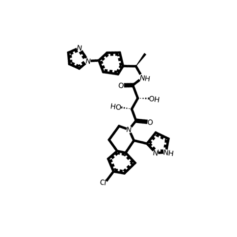 C[C@@H](NC(=O)[C@H](O)[C@@H](O)C(=O)N1CCc2cc(Cl)ccc2C1c1cc[nH]n1)c1ccc(-n2cccn2)cc1